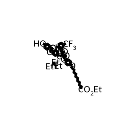 CCN(CC)CC.CCOC(=O)CCCCCCCCCCOc1ccc(OC(=O)C(Oc2ccc(S(=O)(=O)c3ccc(O)cc3)cc2)C(=O)Nc2cc(C(F)(F)F)ccc2Cl)cc1